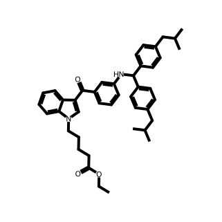 CCOC(=O)CCCCn1cc(C(=O)c2cccc(NC(c3ccc(CC(C)C)cc3)c3ccc(CC(C)C)cc3)c2)c2ccccc21